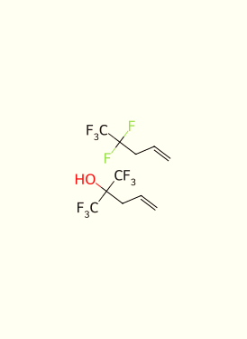 C=CCC(F)(F)C(F)(F)F.C=CCC(O)(C(F)(F)F)C(F)(F)F